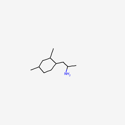 CC(N)CC1CCC(C)CC1C